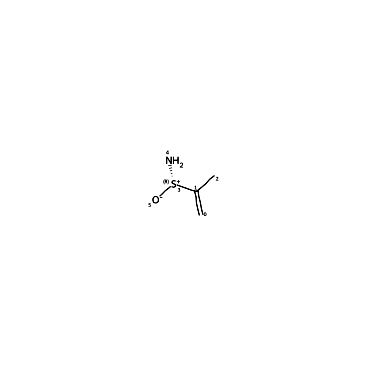 C=C(C)[S@@+](N)[O-]